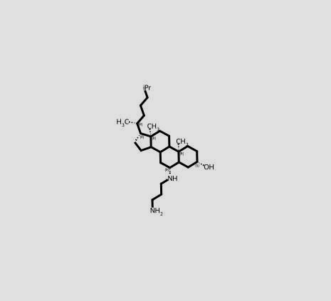 CC(C)CCC[C@@H](C)[C@H]1CCC2C3C[C@@H](NCCCN)C4C[C@@H](O)CC[C@]4(C)C3CC[C@@]21C